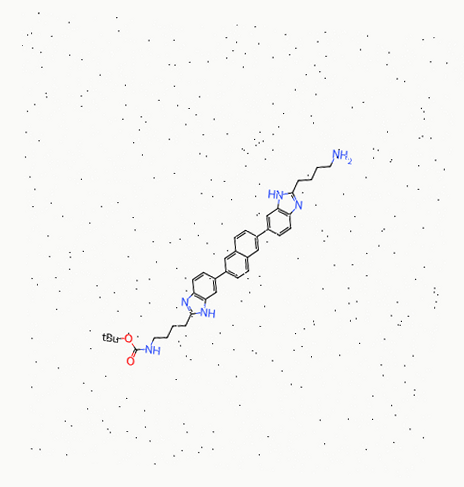 CC(C)(C)OC(=O)NCCCCc1nc2ccc(-c3ccc4cc(-c5ccc6nc(CCCCN)[nH]c6c5)ccc4c3)cc2[nH]1